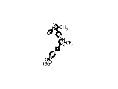 Cc1cnn(C2COC2)c1C1CCN(c2cc(C3CC(N4CCN(C(=O)OC(C)(C)C)CC4)C3)nc(C(F)(F)F)n2)CC1